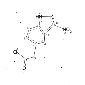 O=C(Cl)Cc1ccc2[nH]cc([N+](=O)[O-])c2c1